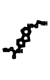 CC(C)(C)OC(=O)Nc1ccc2c(c1)Cc1cc(BOC=N)ccc1-2